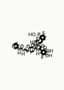 O=C(NCCN1CCN(C(=O)N[C@@H](C(=O)N[C@H]2Cc3ccc(F)c(C(=O)O)c3OB2O)c2cc(F)c(O)c(O)c2Cl)C(=O)C1=O)Nc1cccnc1